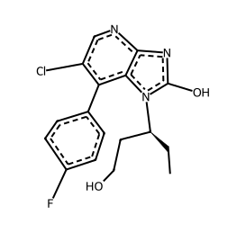 CC[C@@H](CCO)n1c(O)nc2ncc(Cl)c(-c3ccc(F)cc3)c21